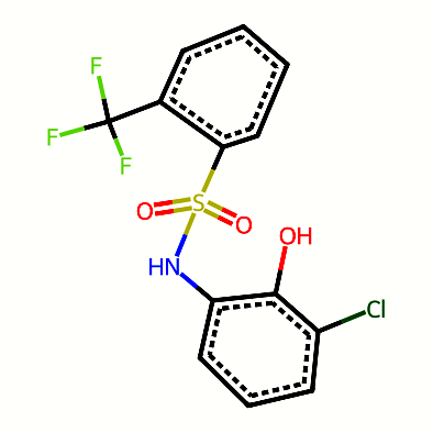 O=S(=O)(Nc1cccc(Cl)c1O)c1ccccc1C(F)(F)F